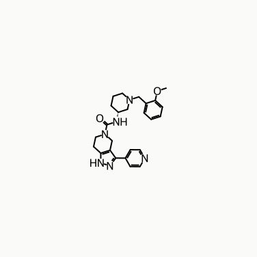 COc1ccccc1CN1CCC[C@@H](NC(=O)N2CCc3[nH]nc(-c4ccncc4)c3C2)C1